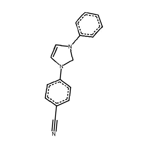 N#Cc1ccc(N2C=CN(c3ccccc3)C2)cc1